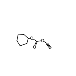 C#COC(=O)OC1CCCCC1